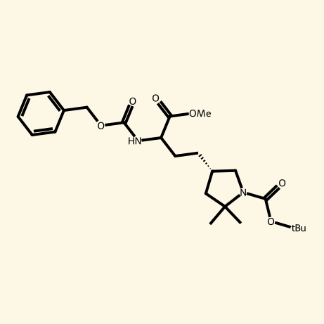 COC(=O)C(CC[C@@H]1CN(C(=O)OC(C)(C)C)C(C)(C)C1)NC(=O)OCc1ccccc1